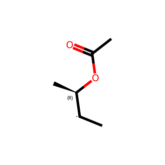 C[CH][C@@H](C)OC(C)=O